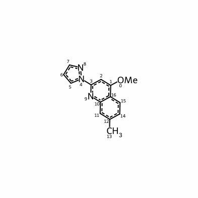 COc1cc(-n2cccn2)nc2cc(C)ccc12